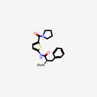 CN[C@H](Cc1ccccc1)C(=O)Nc1ccc(C(=O)N2CCCC2)s1